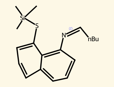 CCCC/C=N\c1cccc2cccc(S[Si](C)(C)C)c12